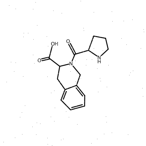 O=C(O)C1Cc2ccccc2CN1C(=O)C1CCCN1